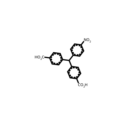 O=C(O)c1ccc(C(c2ccc(C(=O)O)cc2)c2ccc([N+](=O)[O-])cc2)cc1